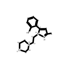 Cc1cc(-c2ccccc2F)n(CCN2CCOCC2)n1